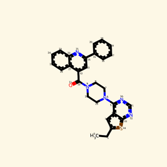 CCc1cc2c(N3CCN(C(=O)c4cc(-c5ccccc5)nc5ccccc45)CC3)ncnc2s1